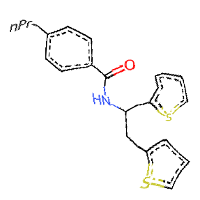 CCCc1ccc(C(=O)NC(Cc2cccs2)c2cccs2)cc1